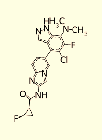 CN(C)c1c(F)c(Cl)c(-c2ccc3nc(NC(=O)[C@H]4C[C@H]4F)cn3c2)c2cn[nH]c12